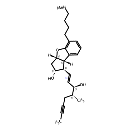 CC#CC[C@@H](C)[C@H](O)/C=C/[C@@H]1[C@H]2c3cccc(CCCCNC)c3O[C@H]2C[C@H]1O